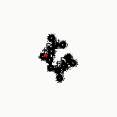 Fc1c(F)c(-n2c3ccccc3c3cc(-c4cccc(-c5cc(-c6ccccc6)nc(-c6c(F)c(F)c(-n7c8ccccc8c8ccccc87)c(F)c6F)n5)c4)ccc32)c(F)c(F)c1-c1cc(-c2ccccc2)nc(-c2ccccc2)c1